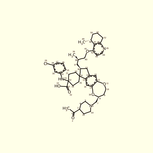 CC(=O)C1CCN(C[C@@H]2CCOc3cc4c(cc3O2)C2(CCC(Nc3cccc(Cl)c3)(C(=O)O)CC2)[C@@H](C[C@@H](C)COc2ccnc3c2[C@H](C)CCC3)C4)CC1